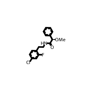 CO[C@@H](C(=O)NCCc1ccc(Cl)cc1F)c1ccccc1